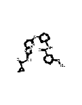 CC(C)(C)Oc1cccc(C(=O)Nc2cccc(Oc3ccc4nc(NC(=O)C5CC5)cn4n3)c2)c1